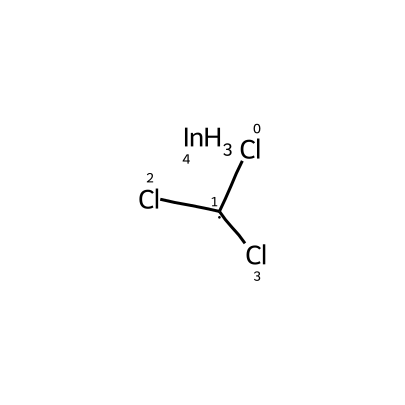 Cl[C](Cl)Cl.[InH3]